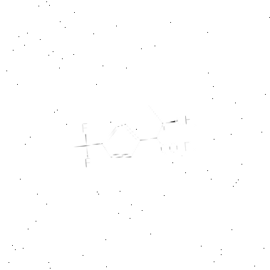 CCOC(=O)C(c1ccc(C(C)(F)F)cc1)[C@@H](C)C(F)(F)F